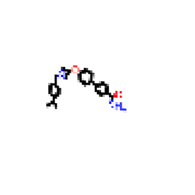 CC(C)c1ccc(CN2CC(Oc3ccc(-c4ccc(C(N)=O)cc4)cc3)C2)cc1